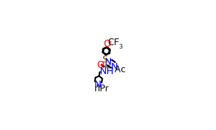 CCCN1CCC(CNC(=O)[C@H]2CN(C(C)=O)CCN2Sc2ccc(OC(F)(F)F)cc2)CC1